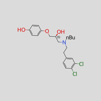 CCCCN(CCc1ccc(Cl)c(Cl)c1)C[C@H](O)COc1ccc(O)cc1